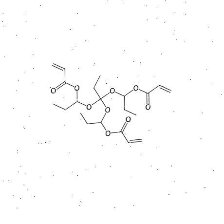 C=CC(=O)OC(CC)OC(CC)(OC(CC)OC(=O)C=C)OC(CC)OC(=O)C=C